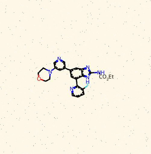 CCOC(=O)Nc1nc2cc(-c3cncc(N4CCOCC4)c3)cc(-c3ncccc3F)c2[nH]1